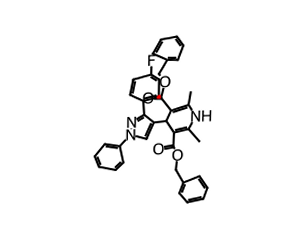 CC1=C(C(=O)OCc2ccccc2)C(c2cn(-c3ccccc3)nc2-c2ccc(F)cc2)C(C(=O)OCc2ccccc2)=C(C)N1